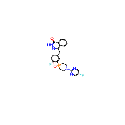 O=c1[nH]nc(Cc2ccc(F)c([P]3(O)CCN(c4ncc(F)cn4)CC3)c2)c2ccccc12